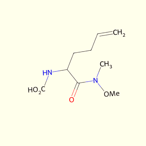 C=CCCC(NC(=O)O)C(=O)N(C)OC